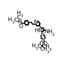 CCN(CC)C(=O)c1ccc(/C=C/c2cc(-c3cc(N)c(N4CCN(C(=O)OC(C)(C)C)CC4)[nH]3)ccn2)cc1